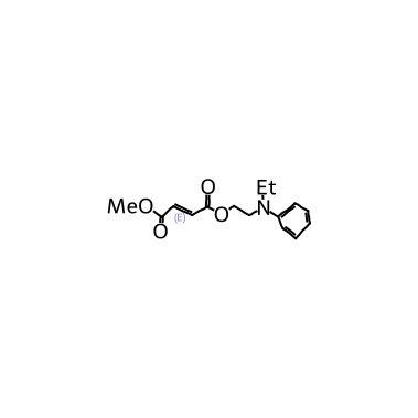 CCN(CCOC(=O)/C=C/C(=O)OC)c1ccccc1